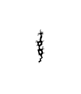 C=CCCc1ccc(-c2ccc(C#CC(F)(F)F)c(F)c2)c(F)c1